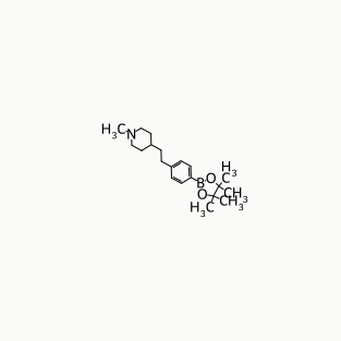 CN1CCC(CCc2ccc(B3OC(C)(C)C(C)(C)O3)cc2)CC1